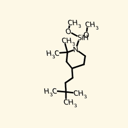 CO[SiH](OC)N1CCC(CCC(C)(C)C)CC1(C)C